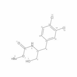 CCCCOC(=O)NC(CO)Cc1ccc(Cl)c(Cl)c1